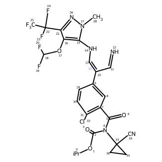 CC(C)OC(=O)N(C(=O)c1cc(/C(C=N)=C/Nc2c(OC(F)F)c(C(F)(F)C(F)(F)F)nn2C)ccc1Cl)C1(C#N)CC1